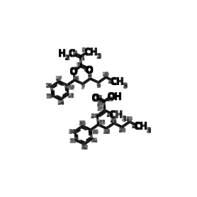 C=C(C)C(=O)OC(CCCCC)c1ccccc1.CCCCCC(C=C(C)C(=O)O)c1ccccc1